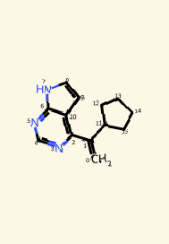 C=C(c1ncnc2[nH]ccc12)C1CCCC1